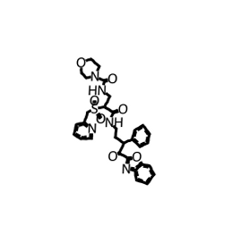 O=C(c1nc2ccccc2o1)C(CCNC(=O)C(CNC(=O)N1CCOCC1)S(=O)(=O)Cc1ccccn1)c1ccccc1